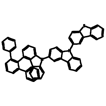 c1ccc(-c2cccc(-c3ccccc3)c2-c2cccc3c2c2ccccc2n3-c2ccc3c(c2)c2ccccc2n3-c2ccc3sc4ccccc4c3c2)cc1